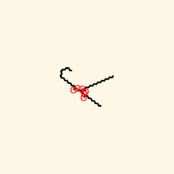 C=CCCCCCCCC(=O)OCC(COC(=O)CCCCCCC/C=C\C/C=C\C/C=C\CC)OC(=O)CCCCCCCCCCCCCCC